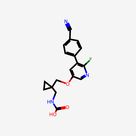 N#Cc1ccc(-c2cc(OCC3(CNC(=O)O)CC3)cnc2F)cc1